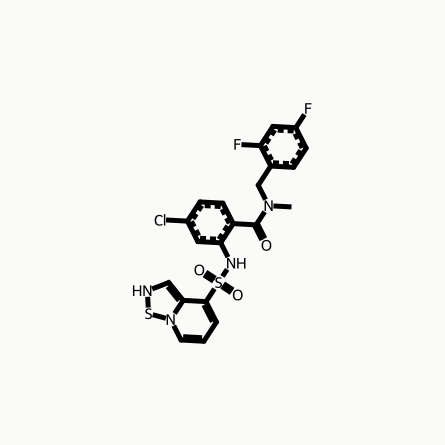 CN(Cc1ccc(F)cc1F)C(=O)c1ccc(Cl)cc1NS(=O)(=O)C1=CC=CN2SNC=C12